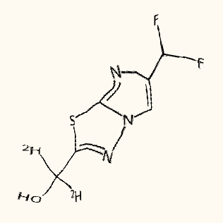 [2H]C([2H])(O)c1nn2cc(C(F)F)nc2s1